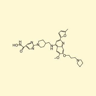 COc1cc2c(NCC3CCN(c4ncc(C(=O)NO)cn4)CC3)cc(-c3ccc(C)o3)nc2cc1OCCCN1CCCC1